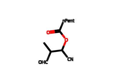 CCCCCC(=O)OC(C#N)C(C)C=O